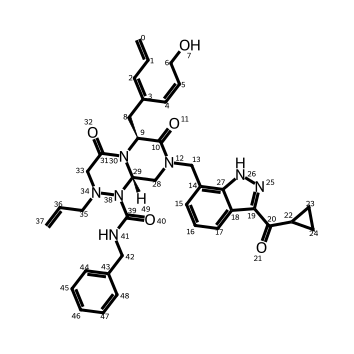 C=C/C=C(\C=C/CO)C[C@H]1C(=O)N(Cc2cccc3c(C(=O)C4CC4)n[nH]c23)C[C@H]2N1C(=O)CN(CC=C)N2C(=O)NCc1ccccc1